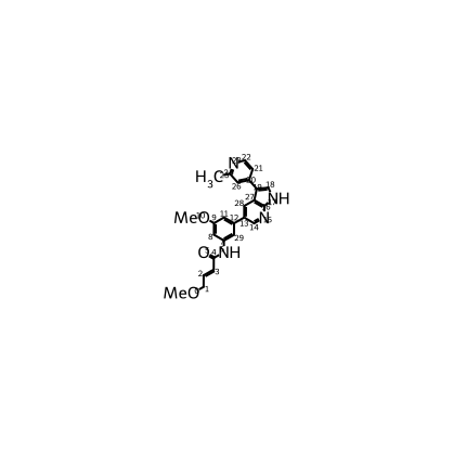 COC/C=C/C(=O)Nc1cc(OC)cc(-c2cnc3[nH]cc(-c4ccnc(C)c4)c3c2)c1